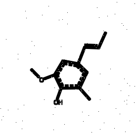 CC=Cc1cc(C)c(O)c(OC)c1